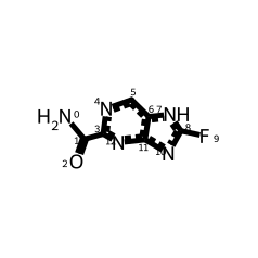 NC(=O)c1ncc2[nH]c(F)nc2n1